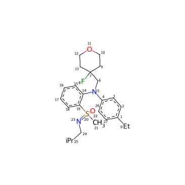 CCc1ccc(N(CC2(F)CCOCC2)c2ccccc2S(C)(=O)=NCC(C)C)cc1